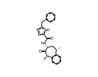 C[C@H]1C[C@@H](NC(=O)c2nnc(Cc3ccccc3)[nH]2)C(=O)N(C)c2ccccc21